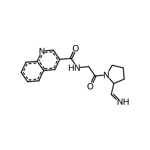 N=CC1CCCN1C(=O)CNC(=O)c1cnc2ccccc2c1